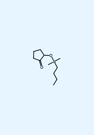 CCCC[Si](C)(C)OC1CCCC1=O